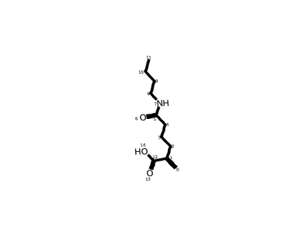 C=C(CCCC(=O)NCCCC)C(=O)O